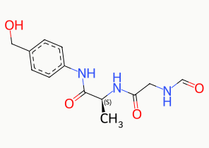 C[C@H](NC(=O)CNC=O)C(=O)Nc1ccc(CO)cc1